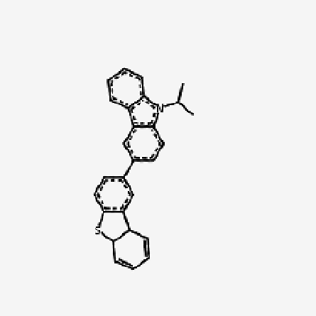 CC(C)n1c2ccccc2c2cc(-c3ccc4c(c3)C3C=CC=CC3S4)ccc21